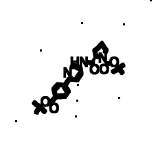 CC(C)(C)OC(=O)c1ccc(-c2ccc(NC(=O)[C@H]3CCCN3C(=O)OC(C)(C)C)cn2)cc1